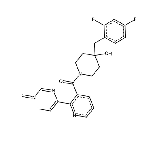 C=N/C=N\C(=C/C)c1ncccc1C(=O)N1CCC(O)(Cc2ccc(F)cc2F)CC1